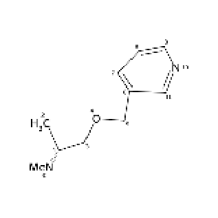 CN[C@H](C)COCc1cccnc1